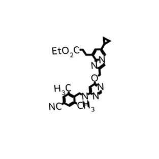 CCOC(=O)CCc1cc(C2CC2)cn2cc(COc3cc(NCc4c(C)cc(C#N)cc4C)ncn3)nc12